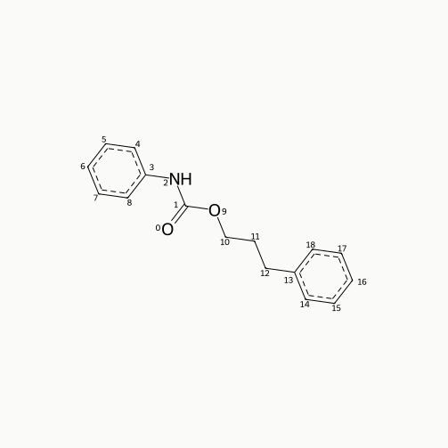 O=C(Nc1ccccc1)OCCCc1ccccc1